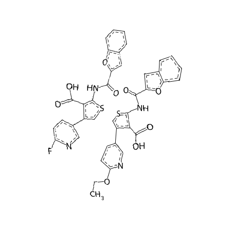 CCOc1ccc(-c2csc(NC(=O)c3cc4ccccc4o3)c2C(=O)O)cn1.O=C(Nc1scc(-c2ccc(F)nc2)c1C(=O)O)c1cc2ccccc2o1